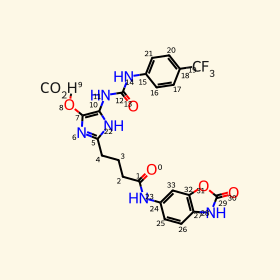 O=C(CCCc1nc(OC(=O)O)c(NC(=O)Nc2ccc(C(F)(F)F)cc2)[nH]1)Nc1ccc2[nH]c(=O)oc2c1